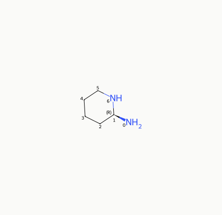 N[C@H]1CCCCN1